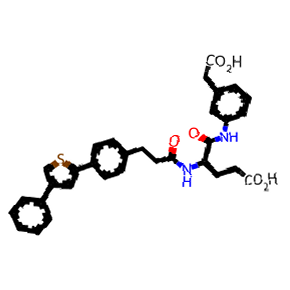 O=C(O)CCC(NC(=O)CCc1ccc(-c2cc(-c3ccccc3)cs2)cc1)C(=O)Nc1cccc(CC(=O)O)c1